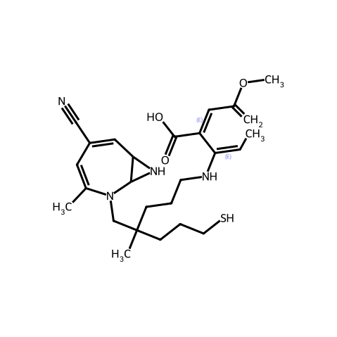 C=C(/C=C(C(=O)O)\C(=C/C)NCCCC(C)(CCCS)CN1C(C)=CC(C#N)=CC2NC21)OC